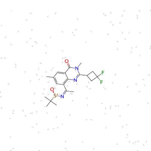 C/C(=N/[S@+]([O-])C(C)(C)C)c1cc(C)cc2c(=O)n(C)c(C3CC(F)(F)C3)nc12